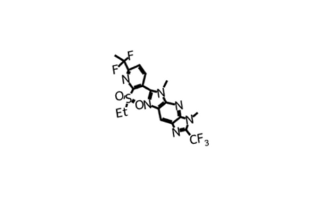 CCS(=O)(=O)c1nc(C(C)(F)F)ccc1-c1nc2cc3nc(C(F)(F)F)n(C)c3nc2n1C